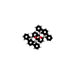 C1=CCC(n2c3ccccc3c3ccc4c5ccccc5n(-c5ccc(-n6c7ccccc7c7ccc8c9ccccc9n(C9=CCCC=C9)c8c76)nn5)c4c32)C=C1